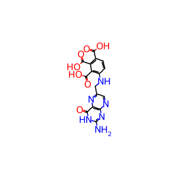 Nc1nc2ncc(CNc3ccc(C(=O)O)c(C(=O)O)c3C(=O)O)nc2c(=O)[nH]1